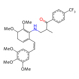 COC1=C(NCC(C)C(=O)c2ccc(C(F)(F)F)cc2)C(/C=C\c2cc(OC)c(OC)c(OC)c2)=CCC1OC